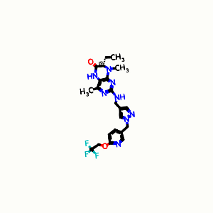 CC[C@H]1C(=O)Nc2c(C)nc(NCc3cnn(Cc4ccc(OCC(F)(F)F)nc4)c3)nc2N1C